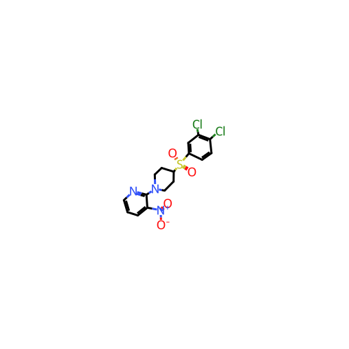 O=[N+]([O-])c1cccnc1N1CCC(S(=O)(=O)c2ccc(Cl)c(Cl)c2)CC1